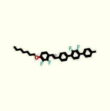 CCCCCCCOc1ccc(/C=C/c2ccc(-c3ccc(-c4ccc(C)cc4)c(F)c3F)cc2)c(F)c1F